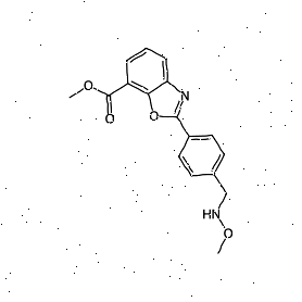 CONCc1ccc(-c2nc3cccc(C(=O)OC)c3o2)cc1